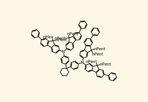 CCCCCCC1(CCCCC)c2cc(-c3ccccc3)ccc2-c2ccc(N(c3ccc(C4(c5ccc(N(c6ccc7c(c6)C(CCCCC)(CCCCC)c6cc(-c8ccccc8)ccc6-7)c6ccc7c(c6)C(CCCCC)(CCCCC)c6cc(-c8ccccc8)ccc6-7)cc5)CCCCC4)cc3)c3ccc4c(c3)C(CCCCC)(CCCCC)c3cc(-c5ccccc5)ccc3-4)cc21